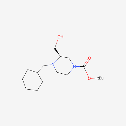 CC(C)(C)OC(=O)N1CCN(CC2CCCCC2)[C@@H](CO)C1